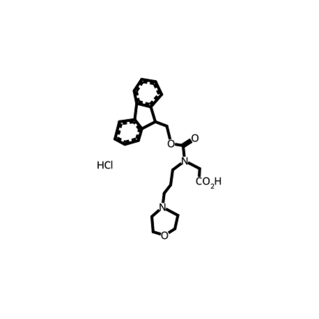 Cl.O=C(O)CN(CCCN1CCOCC1)C(=O)OCC1c2ccccc2-c2ccccc21